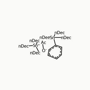 CC(=O)[O-].CCCCCCCCC[CH2][Sn+]([CH2]CCCCCCCCC)[CH2]CCCCCCCCC.CCCCCCCCC[CH2][Sn]([CH2]CCCCCCCCC)([CH2]CCCCCCCCC)[c]1ccccc1